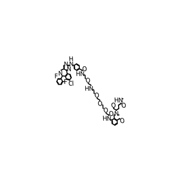 CNC(=O)CCC(C=O)N(C)Cc1c(C=O)cccc1NC(=O)COCCOCCOCCNCCOCCNC(=O)c1ccc(Nc2ncc3c(n2)-c2ccc(Cl)cc2C(c2c(F)cccc2F)=NC3)cc1